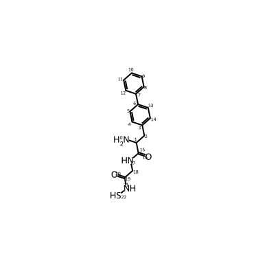 NC(Cc1ccc(-c2ccccc2)cc1)C(=O)NCC(=O)NS